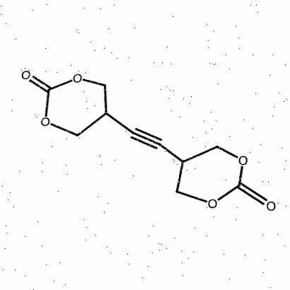 O=C1OCC(C#CC2COC(=O)OC2)CO1